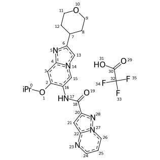 CC(C)Oc1cc2nc(C3CCOCC3)cn2cc1NC(=O)c1cc2ncccn2n1.O=C(O)C(F)(F)F